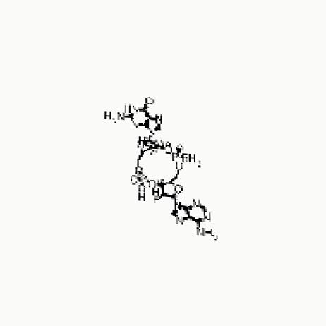 B[P@]1(=O)OCC2O[C@@H](n3cnc4c(N)ncnc43)C(F)[C@H]2OP(=O)(O)OCC2O[C@@H](n3cnc4c(=O)[nH]c(N)nc43)C(O1)[C@H]2OC